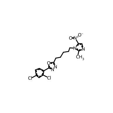 Cc1ncc([N+](=O)[O-])n1CCCCCc1nnc(-c2ccc(Cl)cc2Cl)o1